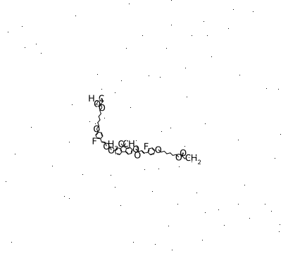 C=CC(=O)OCCCCCCOc1ccc(C=COCOc2ccc3c(c2)C(C)(C)c2cc(OC(=O)C=Cc4ccc(OCCCCCCOC(=O)C=C)cc4F)ccc2-3)c(F)c1